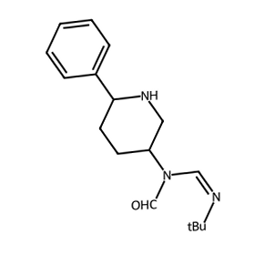 CC(C)(C)/N=C\N(C=O)C1CCC(c2ccccc2)NC1